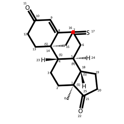 C[C@]12CC[C@H]3[C@@H](CCC4=CC(=O)CC[C@@]43CC=S)[C@@H]1CCC2=O